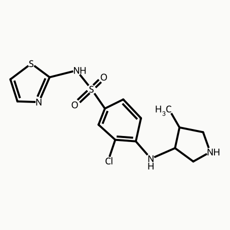 CC1CNCC1Nc1ccc(S(=O)(=O)Nc2nccs2)cc1Cl